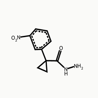 NNC(=O)C1(c2cccc([N+](=O)[O-])c2)CC1